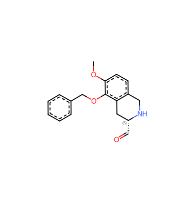 COc1ccc2c(c1OCc1ccccc1)C[C@@H](C=O)NC2